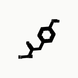 [CH2]CNC(=O)Cc1ccc(OC)cc1